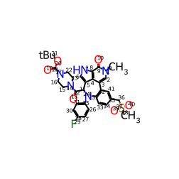 Cn1cc2c3c(c[nH]c3c1=O)C(C(=O)N1CCN(C(=O)OC(C)(C)C)CC1)N(c1ccc(F)cc1)c1ccc(CS(C)(=O)=O)cc1-2